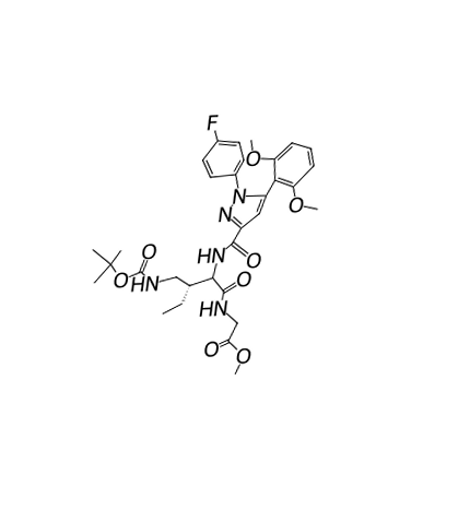 CC[C@H](CNC(=O)OC(C)(C)C)C(NC(=O)c1cc(-c2c(OC)cccc2OC)n(-c2ccc(F)cc2)n1)C(=O)NCC(=O)OC